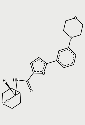 O=C(N[C@H]1CN2CCC1CC2)c1ccc(-c2cccc(N3CCOCC3)c2)o1